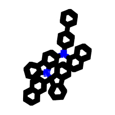 c1ccc(-c2ccc(N(c3ccc4c5ccccc5n(C5(c6ccc7ccccc7c6)c6ccccc6-c6ccccc65)c4c3)c3cccc4ccccc34)cc2)cc1